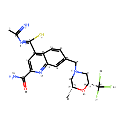 CC(=N)/N=C(\S)c1cc(C(N)=O)nc2cc(CN3C[C@@H](C)O[C@@H](C(F)(F)F)C3)ccc12